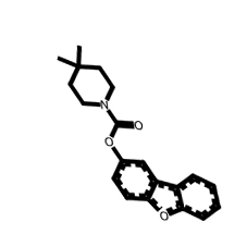 CC1(C)CCN(C(=O)Oc2ccc3oc4ccccc4c3c2)CC1